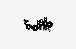 CN(C)CC1CCN(c2ccc3nc(-c4c(N)c5ccccc5[nH]c4=O)[nH]c3c2)C1